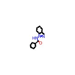 O=C(Nn1ncc2ccccc21)c1ccccc1